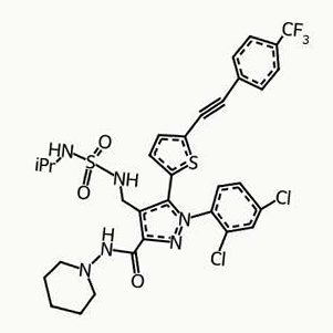 CC(C)NS(=O)(=O)NCc1c(C(=O)NN2CCCCC2)nn(-c2ccc(Cl)cc2Cl)c1-c1ccc(C#Cc2ccc(C(F)(F)F)cc2)s1